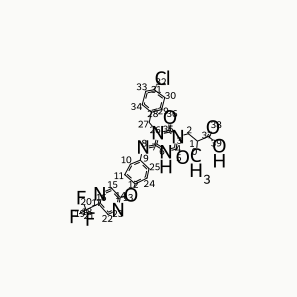 CC(Cn1c(=O)[nH]/c(=N\c2ccc(Oc3cnc(C(F)(F)F)cn3)cc2)n(Cc2ccc(Cl)cc2)c1=O)C(=O)O